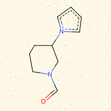 O=CN1CCCC(n2cccc2)C1